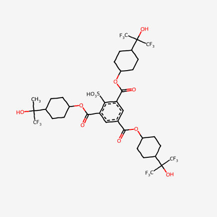 CC(O)(C1CCC(OC(=O)c2cc(C(=O)OC3CCC(C(O)(C(F)(F)F)C(F)(F)F)CC3)cc(C(=O)OC3CCC(C(O)(C(F)(F)F)C(F)(F)F)CC3)c2S(=O)(=O)O)CC1)C(F)(F)F